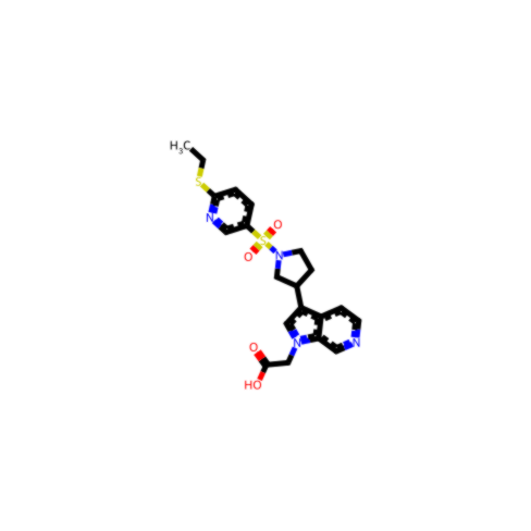 CCSc1ccc(S(=O)(=O)N2CCC(c3cn(CC(=O)O)c4cnccc34)C2)cn1